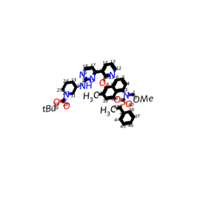 COCN(c1cccc2c(Oc3ncccc3-c3ccnc(N[C@H]4CCCN(C(=O)OC(C)(C)C)C4)n3)c(C)ccc12)S(=O)(=O)C(C)c1ccccc1